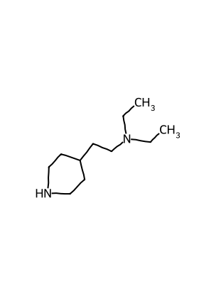 CCN(CC)CCC1CCNCC1